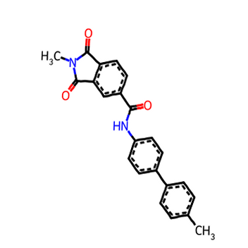 Cc1ccc(-c2ccc(NC(=O)c3ccc4c(c3)C(=O)N(C)C4=O)cc2)cc1